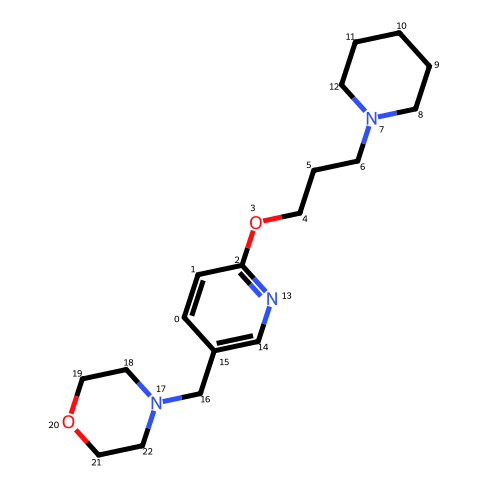 c1cc(OCCCN2CCCCC2)ncc1CN1CCOCC1